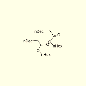 CCCCCCCCCCCC(=O)OCCCCCC.CCCCCCCCCCCC(=O)OCCCCCC